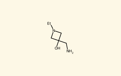 CCN1CC(O)(CN)C1